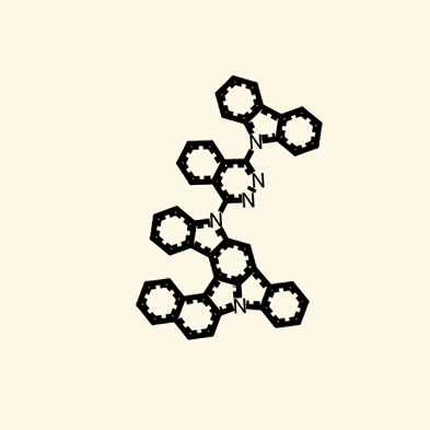 c1ccc2c(c1)ccc1c2c2c3c4ccccc4n(-c4nnc(-n5c6ccccc6c6ccccc65)c5ccccc45)c3cc3c4ccccc4n1c32